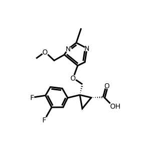 COCc1nc(C)ncc1OC[C@@]1(c2ccc(F)c(F)c2)C[C@H]1C(=O)O